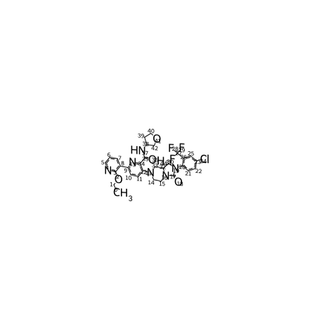 CCOc1ncccc1-c1ccc(N2CCN3C(=O)N(c4ccc(Cl)cc4C(F)(F)F)C[C@@H]3C2)c(C(=O)NC2CCOC2)n1